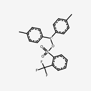 Cc1ccc([I+](OS(=O)(=O)c2ccccc2C(F)(F)F)c2ccc(C)cc2)cc1